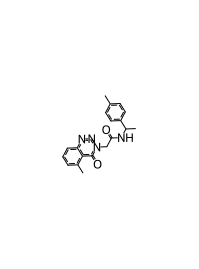 Cc1ccc(C(C)NC(=O)Cn2nnc3cccc(C)c3c2=O)cc1